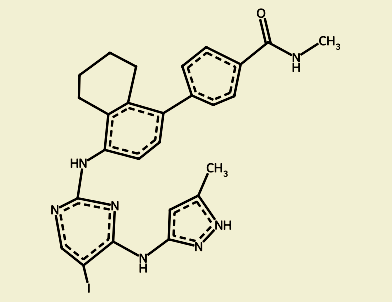 CNC(=O)c1ccc(-c2ccc(Nc3ncc(I)c(Nc4cc(C)[nH]n4)n3)c3c2CCCC3)cc1